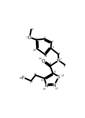 COc1ccc(CN(C)C(=O)c2snnc2CCF)cc1